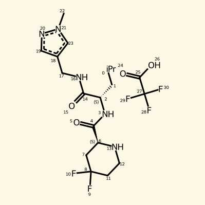 CC(C)C[C@H](NC(=O)[C@@H]1CC(F)(F)CCN1)C(=O)NCc1cnn(C)c1.O=C(O)C(F)(F)F